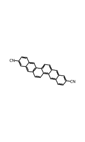 [C-]#[N+]c1ccc2cc3c(ccc4c5cc6ccc(C#N)cc6cc5ccc34)cc2c1